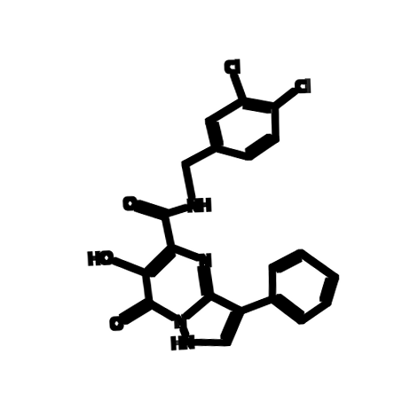 O=C(NCc1ccc(Cl)c(Cl)c1)c1nc2c(-c3ccccc3)c[nH]n2c(=O)c1O